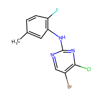 Cc1ccc(F)c(Nc2ncc(Br)c(Cl)n2)c1